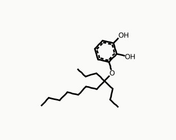 CCCCCCCC(CCC)(CCC)Oc1cccc(O)c1O